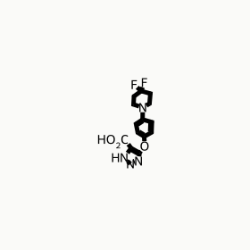 O=C(O)c1[nH]nnc1Oc1ccc(N2CCC(F)(F)CC2)cc1